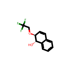 O[C@H]1c2ccccc2C=C[C@@H]1OCC(F)(F)F